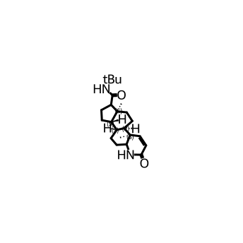 CC(C)(C)NC(=O)C1CC[C@H]2[C@@H]3CCC4NC(=O)C=C[C@]4(C)[C@@H]3CC[C@]12C